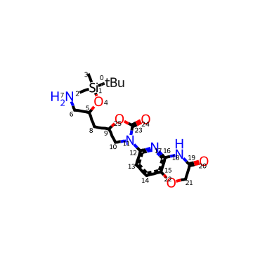 CC(C)(C)[Si](C)(C)OC(CN)CC1CN(c2ccc3c(n2)NC(=O)CO3)C(=O)O1